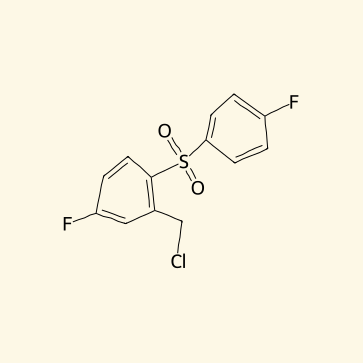 O=S(=O)(c1ccc(F)cc1)c1ccc(F)cc1CCl